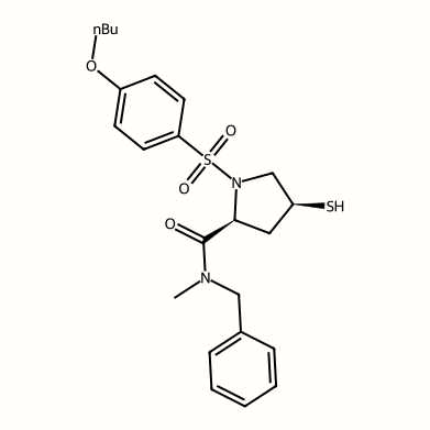 CCCCOc1ccc(S(=O)(=O)N2C[C@@H](S)C[C@H]2C(=O)N(C)Cc2ccccc2)cc1